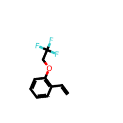 C=Cc1[c]cccc1OCC(F)(F)F